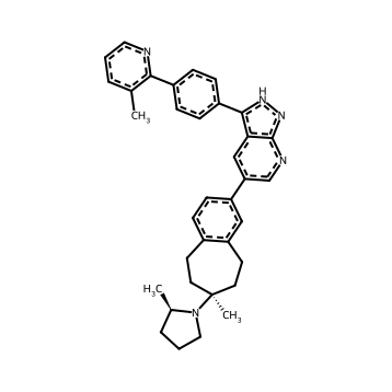 Cc1cccnc1-c1ccc(-c2[nH]nc3ncc(-c4ccc5c(c4)CC[C@@](C)(N4CCC[C@H]4C)CC5)cc23)cc1